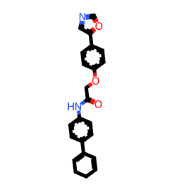 O=C(COc1ccc(-c2cnco2)cc1)Nc1ccc(C2=CCCC=C2)cc1